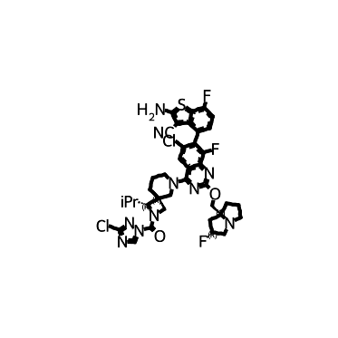 CC(C)[C@H]1N(C(=O)n2cnc(Cl)n2)C[C@]12CCCN(c1nc(OC[C@@]34CCCN3C[C@H](F)C4)nc3c(F)c(-c4ccc(F)c5sc(N)c(C#N)c45)c(Cl)cc13)C2